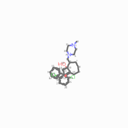 CN1CCN(CC2CCCCC(=Cc3ccccc3)C2(O)Cc2c(Cl)cccc2Cl)CC1